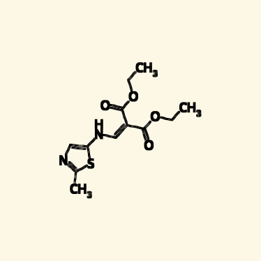 CCOC(=O)C(=CNc1cnc(C)s1)C(=O)OCC